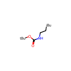 CCC(C)CCNC(=O)OC(C)(C)C